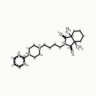 CC12CCCCC1(C)C(=O)N(CCCCN1CCN(c3ncccn3)CC1)C2=O